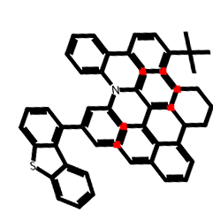 CC(C)(C)c1ccc(-c2ccccc2N(c2cccc(-c3cccc4sc5ccccc5c34)c2)c2ccccc2-c2cccc3cccc(C4CCCCC4)c23)cc1